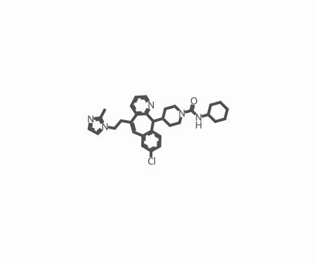 Cc1nccn1CCC1=Cc2cc(Cl)ccc2C(C2CCN(C(=O)NC3CCCCC3)CC2)c2ncccc21